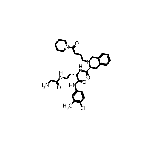 Cc1cc(NC(=O)[C@H](CCNC(=O)CN)NC(=O)[C@@H]2Cc3ccccc3CN2CCCC(=O)N2CCCCC2)ccc1Cl